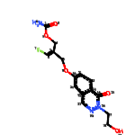 NC(=O)OCC(=CF)COc1ccc2c(=O)n(CCO)ncc2c1